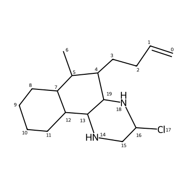 C=CCCC1C(C)C2CCCCC2C2NCC(Cl)NC12